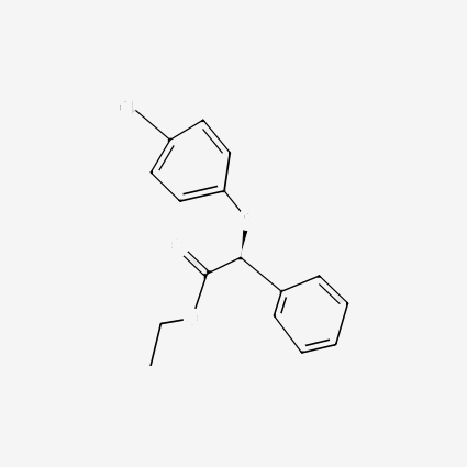 CCOC(=O)[C@@H](Sc1ccc(Cl)cc1)c1ccccc1